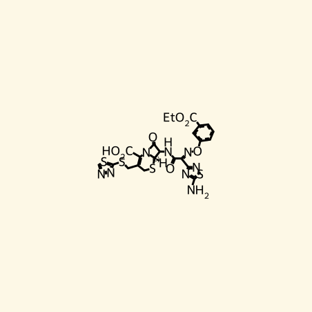 CCOC(=O)c1cccc(ON=C(C(=O)NC2C(=O)N3C(C(=O)O)=C(CSc4nncs4)CS[C@@H]23)c2nsc(N)n2)c1